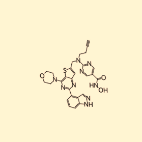 C#CCCN(Cc1cc2nc(-c3cccc4[nH]ncc34)nc(N3CCOCC3)c2s1)c1ncc(C(=O)NO)cn1